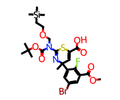 COC(=O)c1cc(Br)cc(C2(C)C=C(C(=O)O)SC(N(COCC[Si](C)(C)C)C(=O)OC(C)(C)C)=N2)c1F